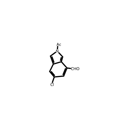 CC(=O)n1cc2cc(Cl)cc(C=O)c2c1